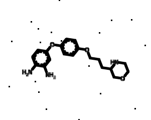 Nc1ccc(Oc2ccc(OCCCC3COCCN3)cc2)cc1N